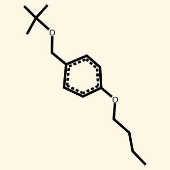 CCCCOc1ccc(COC(C)(C)C)cc1